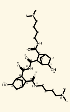 CN(C)CCCCNC(=O)C1C2CC(O)C(C2)C1C(=O)NC(=O)C1C2CC(CC2O)C1C(=O)NCCCCN(C)C